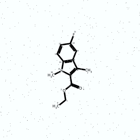 CCOC(=O)c1c(C)c2cc(F)ccc2n1C